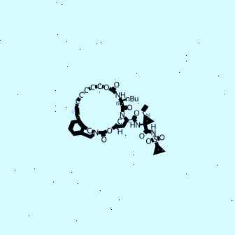 C=C[C@@H]1C[C@]1(NC(=O)[C@@H]1C[C@@H]2CN1C(=O)[C@H](CCCC)NC(=O)OCCCCC/C=C\c1cccc3c1CN(C3)C(=O)O2)C(=O)NS(=O)(=O)C1CC1